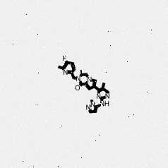 Cc1cnc(Nc2ccnn2C)nc1-c1cc2n(c1)C[C@H](C)N(Cc1ccc(F)c(C)n1)C2=O